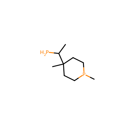 CC(P)C1(C)CCP(C)CC1